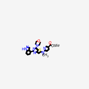 COC(=O)c1ccc(N(C)c2cc3nc(-c4cccc5[nH]ncc45)nc(N4CCOCC4)c3s2)nc1